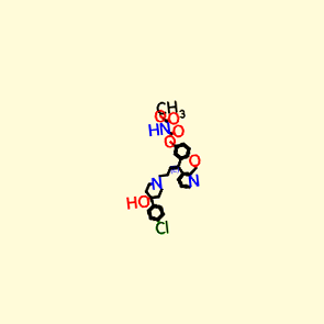 COC(=O)NC(=O)Oc1ccc2c(c1)/C(=C/CCN1CCC(O)(c3ccc(Cl)cc3)CC1)c1cccnc1CO2